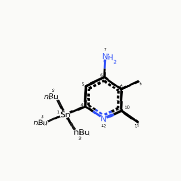 CCC[CH2][Sn]([CH2]CCC)([CH2]CCC)[c]1cc(N)c(C)c(C)n1